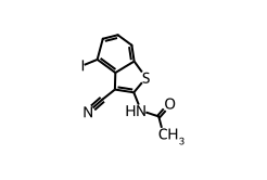 CC(=O)Nc1sc2cccc(I)c2c1C#N